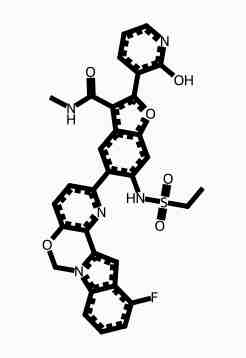 CCS(=O)(=O)Nc1cc2oc(-c3cccnc3O)c(C(=O)NC)c2cc1-c1ccc2c(n1)-c1cc3c(F)cccc3n1CO2